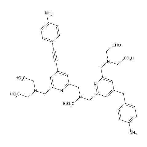 CCOC(=O)N(Cc1cc(Cc2ccc(N)cc2)cc(CN(CC=O)CC(=O)O)n1)Cc1cc(C#Cc2ccc(N)cc2)cc(CN(CC(=O)O)CC(=O)O)n1